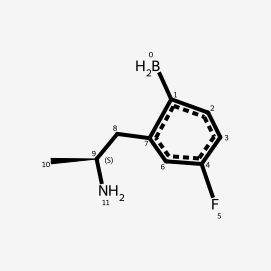 Bc1ccc(F)cc1C[C@H](C)N